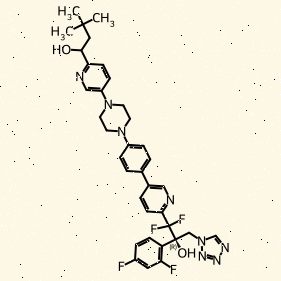 CC(C)(C)CC(O)c1ccc(N2CCN(c3ccc(-c4ccc(C(F)(F)[C@](O)(Cn5cnnn5)c5ccc(F)cc5F)nc4)cc3)CC2)cn1